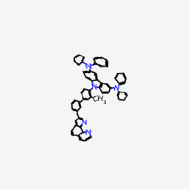 Cc1cc(-c2cccc(-c3cnc4c(ccc5cccnc54)c3)c2)ccc1-n1c2ccc(N(c3ccccc3)c3ccccc3)cc2c2cc(N(c3ccccc3)c3ccccc3)ccc21